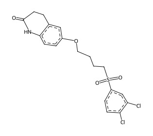 O=C1CCc2cc(OCCCCS(=O)(=O)c3ccc(Cl)c(Cl)c3)ccc2N1